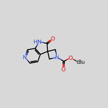 CC(C)(C)OC(=O)N1CC2(C1)C(=O)Nc1cnccc12